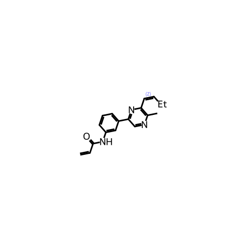 C=CC(=O)Nc1cccc(-c2cnc(C)c(/C=C\CC)n2)c1